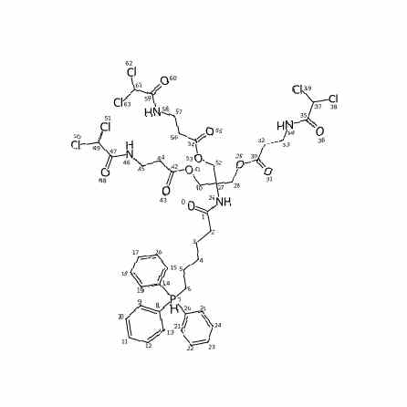 O=C(CCCCC[PH](c1ccccc1)(c1ccccc1)c1ccccc1)NC(COC(=O)CCNC(=O)C(Cl)Cl)(COC(=O)CCNC(=O)C(Cl)Cl)COC(=O)CCNC(=O)C(Cl)Cl